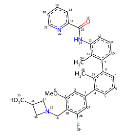 COc1cc(-c2cccc(-c3cccc(NC(=O)c4ccccn4)c3C)c2C)cc(F)c1CN1CC(C(=O)O)C1